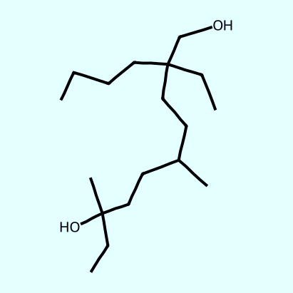 CCCCC(CC)(CO)CCC(C)CCC(C)(O)CC